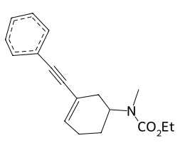 CCOC(=O)N(C)C1CCC=C(C#Cc2ccccc2)C1